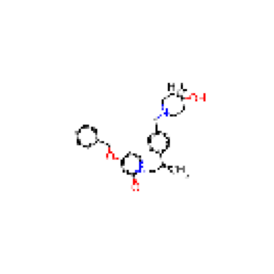 C=C(Cn1ccc(OCc2ccccc2)cc1=O)c1ccc(CN2CCC(C)(O)CC2)cc1